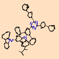 CC(C)C(C)c1ccc2c(c1)c1cc(-n3c4ccccc4c4ccccc43)ccc1n2-c1c(-c2ccccc2)cc(-c2nc(-c3ccc(-c4ccccc4)cc3)nc(-c3ccc(-c4ccccc4)cc3)n2)cc1-c1ccccc1